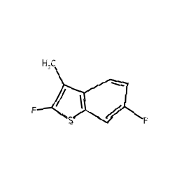 Cc1c(F)sc2cc(F)ccc12